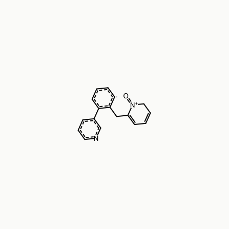 O=[N+]1CC=CC=C1Cc1[c]cccc1-c1cccnc1